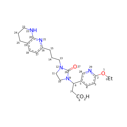 CCOc1ccc(C(CC(=O)O)N2CCN(CCCc3ccc4c(n3)NCCC4)C2=O)cn1